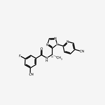 C[C@H](NC(=O)c1cc(F)cc(C#N)c1)c1ncnn1-c1ccc(C#N)cn1